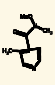 CON(C)C(=O)c1ccncc1C